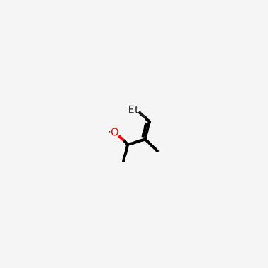 CCC=C(C)C(C)[O]